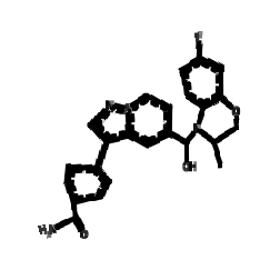 CC1COc2cc(F)ccc2N1C(O)c1ccn2ncc(-c3ccc(C(N)=O)cc3)c2c1